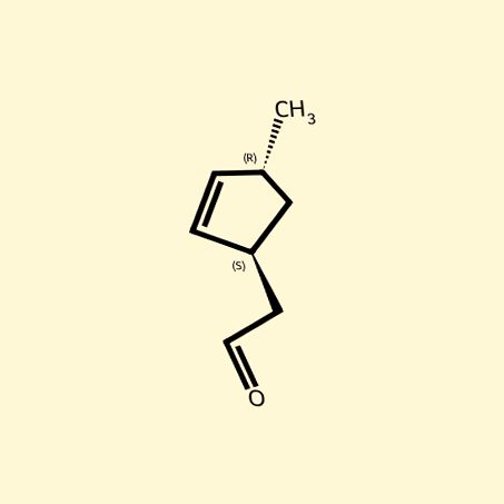 C[C@H]1C=C[C@H](CC=O)C1